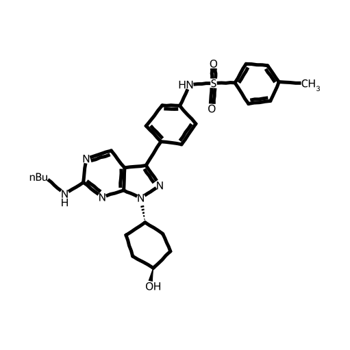 CCCCNc1ncc2c(-c3ccc(NS(=O)(=O)c4ccc(C)cc4)cc3)nn([C@H]3CC[C@H](O)CC3)c2n1